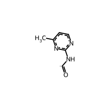 Cc1ccnc(N[C]=O)n1